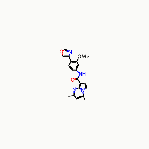 COc1cc(NC(=O)c2ccn3c(C)cc(C)nc23)ccc1-c1cocn1